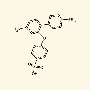 Nc1ccc(-c2ccc(N)cc2Oc2ccc(S(=O)(=O)O)cc2)cc1